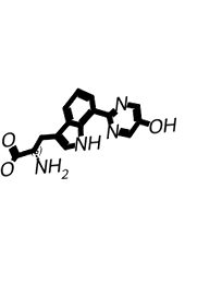 N[C@@H](Cc1c[nH]c2c(-c3ncc(O)cn3)cccc12)C(=O)O